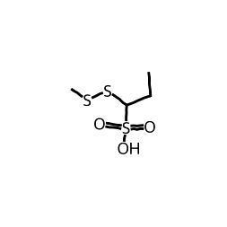 CCC(SSC)S(=O)(=O)O